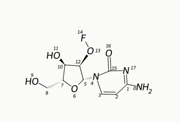 Nc1ccn([C@@H]2O[C@H](CO)[C@@H](O)[C@H]2OF)c(=O)n1